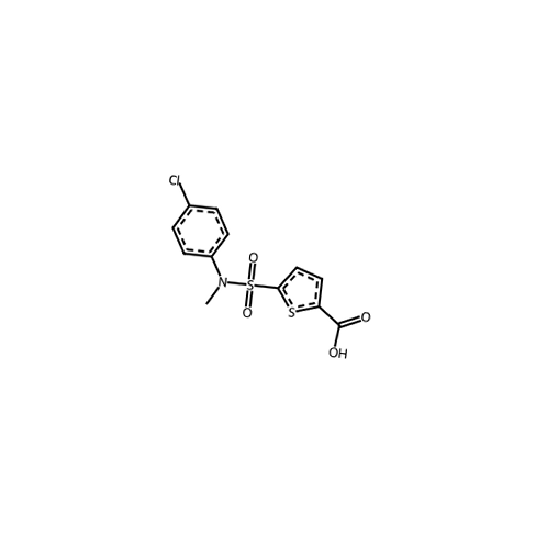 CN(c1ccc(Cl)cc1)S(=O)(=O)c1ccc(C(=O)O)s1